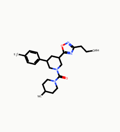 COCCc1noc(C2CC(c3ccc(C(F)(F)F)cc3)CN(C(=O)N3CCC(C#N)CC3)C2)n1